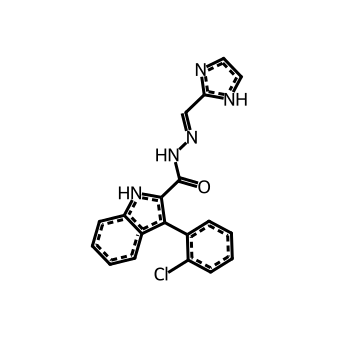 O=C(NN=Cc1ncc[nH]1)c1[nH]c2ccccc2c1-c1ccccc1Cl